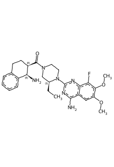 CC[C@H]1CN(C(=O)[C@@H]2CCc3ccccc3[C@@H]2N)CCN1c1nc(N)c2cc(OC)c(OC)c(F)c2n1